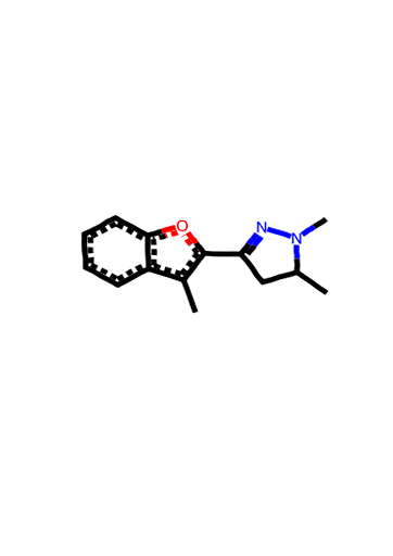 Cc1c(C2=NN(C)C(C)C2)oc2ccccc12